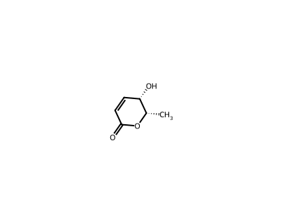 C[C@@H]1OC(=O)C=C[C@@H]1O